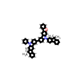 CC1(C)c2ccccc2-c2ccc(-n3c4ccc(-c5ccc6c(c5)c5cc7c(cc5n6-c5ccccc5)C(C)(C)c5ccccc5-7)cc4c4cc5c(cc43)oc3ccccc35)cc21